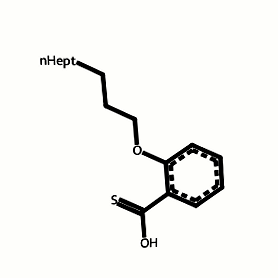 CCCCCCCCCCOc1ccccc1C(O)=S